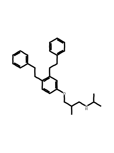 CC(CNC(C)C)COc1ccc(CCc2ccccc2)c(CCc2ccccc2)c1